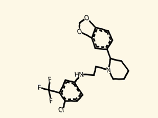 FC(F)(F)c1cc(NCCN2CCCCC2c2ccc3c(c2)OCO3)ccc1Cl